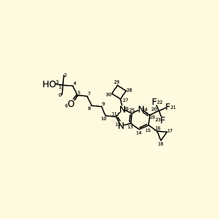 CC(C)(O)CC(=O)CCCCc1nc2cc(C3CC3)c(C(F)(F)F)nc2n1C1CCC1